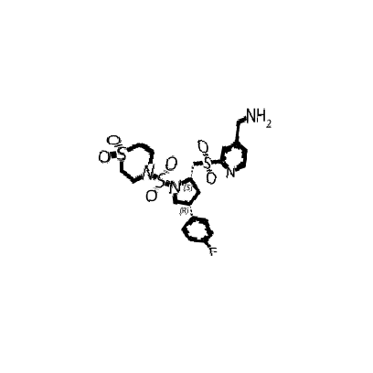 NCc1ccnc(S(=O)(=O)C[C@@H]2C[C@H](c3ccc(F)cc3)CN2S(=O)(=O)N2CCS(=O)(=O)CC2)c1